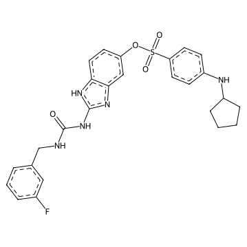 O=C(NCc1cccc(F)c1)Nc1nc2cc(OS(=O)(=O)c3ccc(NC4CCCC4)cc3)ccc2[nH]1